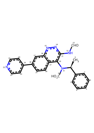 C[C@@H](c1ccccc1)N(C(=O)O)c1c(NC=O)nnc2cc(-c3ccncc3)ccc12